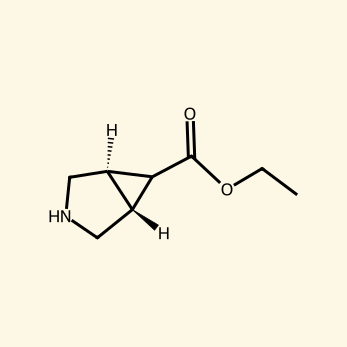 CCOC(=O)C1[C@@H]2CNC[C@@H]12